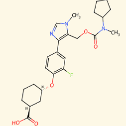 CN(C(=O)OCc1c(-c2ccc(O[C@H]3CCC[C@H](C(=O)O)C3)c(F)c2)ncn1C)C1CCCC1